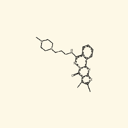 Cc1sc2nc3c4ccccc4c(NCCCN4CCN(C)CC4)nn3c(=O)c2c1C